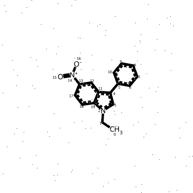 CCn1cc(-c2ccccc2)c2cc([N+](=O)[O-])ccc21